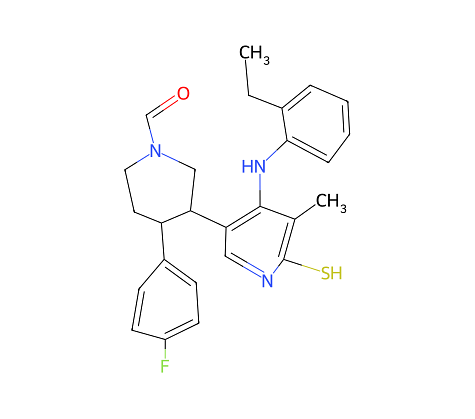 CCc1ccccc1Nc1c(C2CN(C=O)CCC2c2ccc(F)cc2)cnc(S)c1C